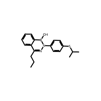 CCCC1=NN(c2ccc(SC(C)C)cc2)B(O)c2ccccc21